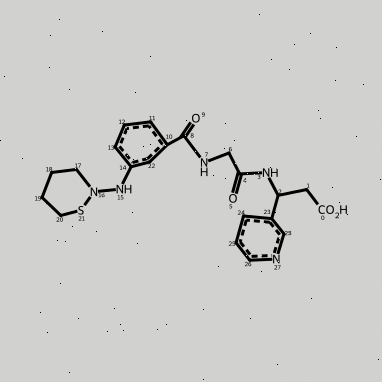 O=C(O)CC(NC(=O)CNC(=O)c1cccc(NN2CCCCS2)c1)c1cccnc1